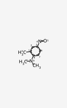 Cc1cc(N=O)ccc1N(C)C